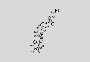 CCOCOC(=O)C1CC2CC1C1C3CC(CC3OC(=O)C3(C)CC3(C)C)C21